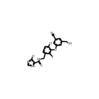 N#Cc1cc(CO)cc(Oc2c(Cl)ccc(CNC(=O)c3[nH]cnc3Cl)c2F)c1